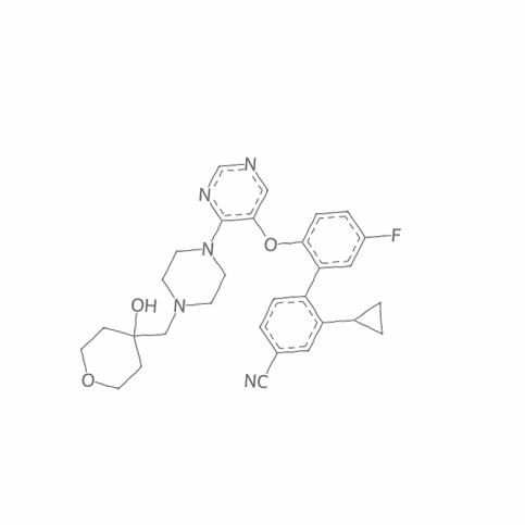 N#Cc1ccc(-c2cc(F)ccc2Oc2cncnc2N2CCN(CC3(O)CCOCC3)CC2)c(C2CC2)c1